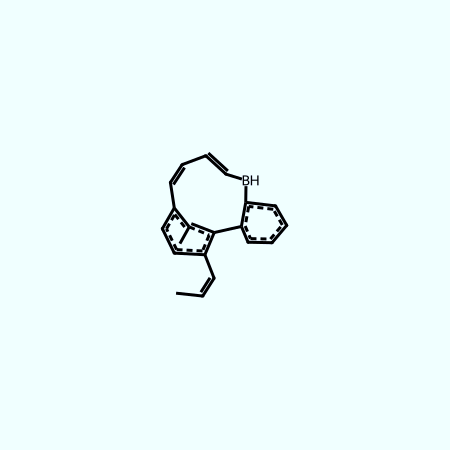 C/C=C\c1ccc2c(C)c1-c1ccccc1B/C=C/C=C\2